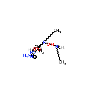 CCCCCCCCCCCN(CC)CCOCCOCCN(CCCCCCCCCCC)CCCCCC(=O)OC(C)(C)Cn1c(COCC)nc2c(N)nc3ccccc3c21